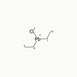 C[CH2][Pb]([Cl])[CH2]C